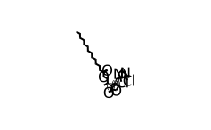 CCCCCCCCCCCCCC(=O)OCC(C)[C@@H]1C(=O)OC[C@@H]1CC1(Cl)C(Cl)N=CN1C